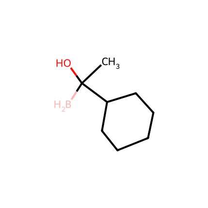 BC(C)(O)C1CCCCC1